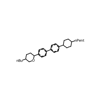 CCCCCC1CCC(c2ccc(-c3ccc(C4CCC(CCCC)CO4)cc3)cc2)CC1